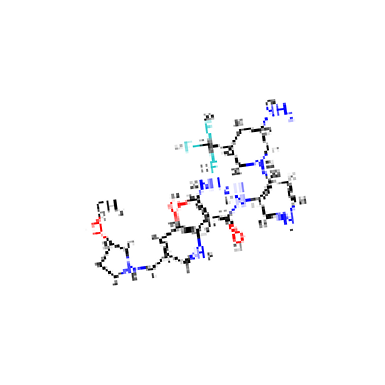 COC1CCN(Cc2cnc3c(C(=O)Nc4cnccc4N4CC(N)CC(C(F)(F)F)C4)c(N)oc3c2)C1